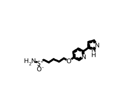 N[S+]([O-])CCCCCOc1ccc(-c2ccn[nH]2)nc1